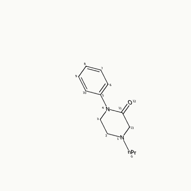 CCCN1CCN(c2ccccc2)C(=O)C1